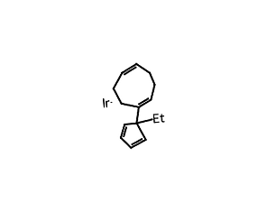 CCC1(C2=CCCC=CCC2)C=CC=C1.[Ir]